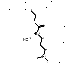 CCOC(=S)NCCCN(C)C.Cl